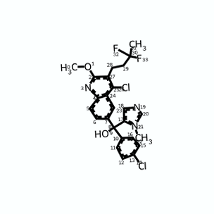 COc1nc2ccc(C(O)(c3ccc(Cl)cc3)c3cncn3C)cc2c(Cl)c1CCC(C)(F)F